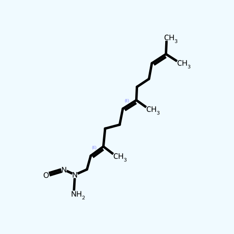 CC(C)=CCC/C(C)=C/CC/C(C)=C/CN(N)N=O